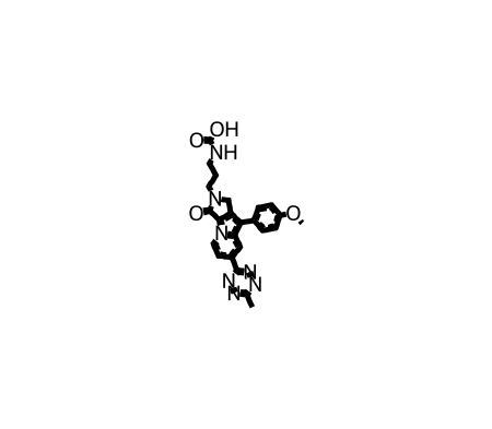 COc1ccc(-c2c3c(n4ccc(-c5nnc(C)nn5)cc24)C(=O)N(CCCNC(=O)O)C3)cc1